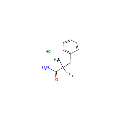 CC(C)(Cc1ccccc1)C(N)=O.Cl